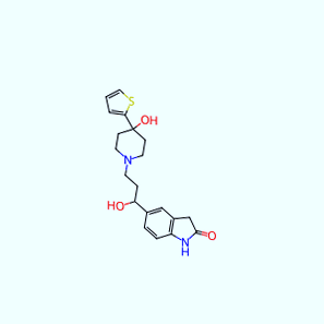 O=C1Cc2cc(C(O)CCN3CCC(O)(c4cccs4)CC3)ccc2N1